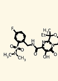 CCC1(C)OCCn2c1nc(C(=O)NCc1ccc(F)cc1S(=O)(=O)N(C)C)c(O)c2=O